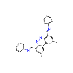 Cc1cc(/C=N/c2ccccc2)c2nnc3c(/C=N/c4ccccc4)cc(C)cc3c2c1